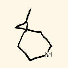 [CH2]C1CC12CCNCC2